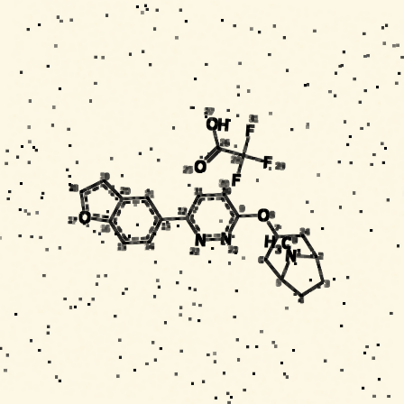 CN1C2CCC1CC(Oc1ccc(-c3ccc4occc4c3)nn1)C2.O=C(O)C(F)(F)F